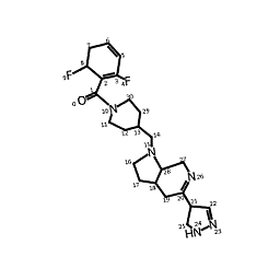 O=C(C1=C(F)C=CCC1F)N1CCC(CN2CCC3CC(C4C=NNC4)=NCC32)CC1